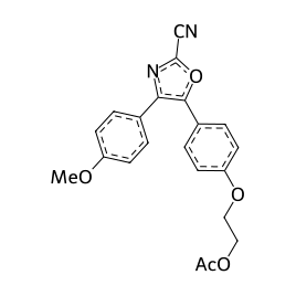 COc1ccc(-c2nc(C#N)oc2-c2ccc(OCCOC(C)=O)cc2)cc1